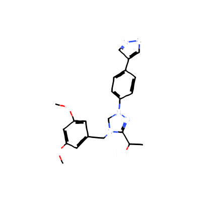 COc1cc(CN2CN(c3ccc(-c4cn[nH]c4)cc3)N=C2C(C)O)cc(OC)c1